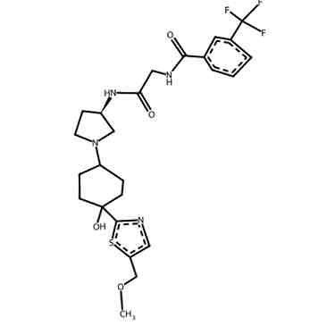 COCc1cnc(C2(O)CCC(N3CC[C@@H](NC(=O)CNC(=O)c4cccc(C(F)(F)F)c4)C3)CC2)s1